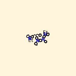 CCn1c2c(c3cc(CC(Cc4ccccc4)c4ccc5c(c4)c4cc(N(c6ccccc6)c6ccc7c(c6)c6ccccc6n7CC)ccc4n5-c4ccccc4)ccc31)C=CCC2